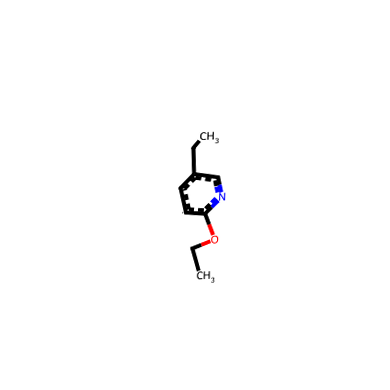 CCOc1[c]cc(CC)cn1